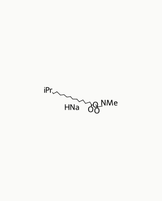 CNCC(=O)OC(=O)CCCCCCCCCCCCC(C)C.[NaH]